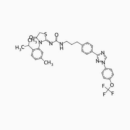 Cc1ccc(C(C)C)c(N2C(=O)CS/C2=N\C(=O)NCCCc2ccc(-c3ncn(-c4ccc(OC(F)(F)F)cc4)n3)cc2)c1